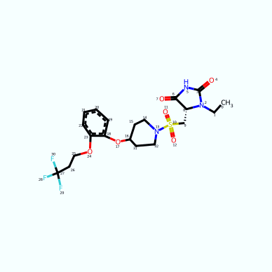 CCN1C(=O)NC(=O)[C@H]1CS(=O)(=O)N1CCC(Oc2ccccc2OCCC(F)(F)F)CC1